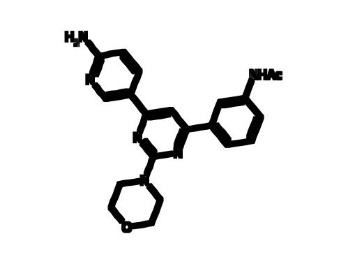 CC(=O)Nc1cccc(-c2cc(-c3ccc(N)nc3)nc(N3CCOCC3)n2)c1